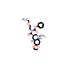 CCOCCN(C(=O)Oc1ccccc1)C(=O)[C@@H]1C[C@@H]2CC3(CC[C@H]2N(C)C1)OCCO3